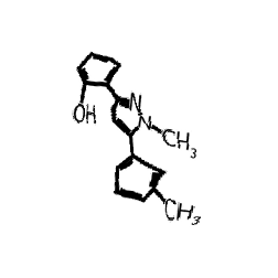 Cc1cccc(-c2cc(-c3ccccc3O)nn2C)c1